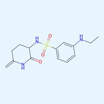 C=C1CCC(NS(=O)(=O)c2cccc(NCC)c2)C(=O)N1